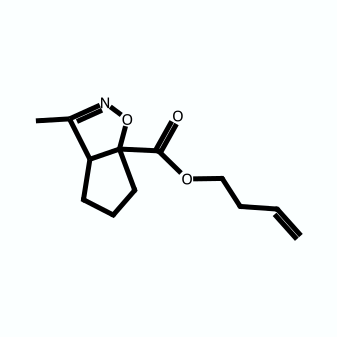 C=CCCOC(=O)C12CCCC1C(C)=NO2